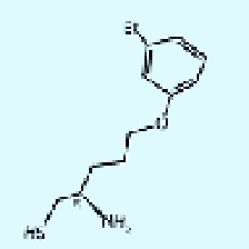 CCc1cccc(OCCC[C@@H](N)CS)c1